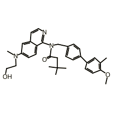 COc1ccc(-c2ccc(CN(C(=O)CC(C)(C)C)c3nccc4cc(N(C)CCO)ccc34)cc2)cc1C